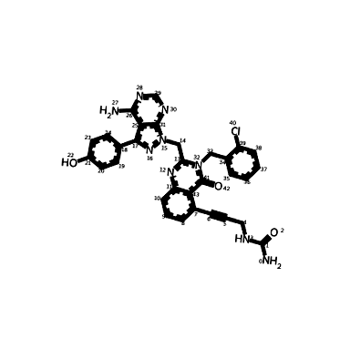 NC(=O)NCC#Cc1cccc2nc(Cn3nc(-c4ccc(O)cc4)c4c(N)ncnc43)n(Cc3ccccc3Cl)c(=O)c12